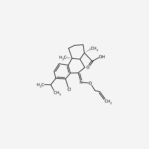 C=CCO/N=C1\CC2[C@](C)(C(=O)O)CCC[C@]2(C)c2ccc(C(C)C)c(Cl)c21